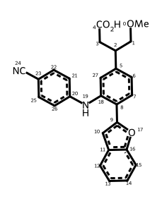 COCC(CC(=O)O)c1ccc(-c2cc3ccccc3o2)c(Nc2ccc(C#N)cc2)c1